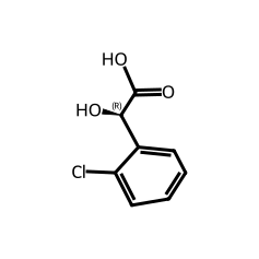 O=C(O)[C@H](O)c1ccccc1Cl